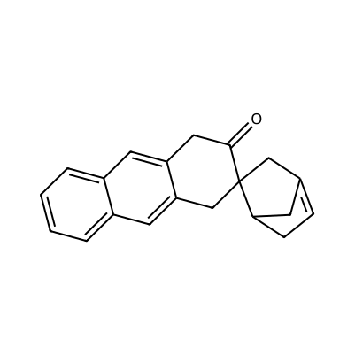 O=C1Cc2cc3ccccc3cc2CC12CC1=CCC2C1